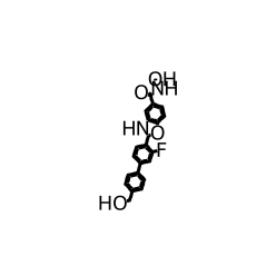 O=C(NO)c1ccc2c(c1)NC(c1ccc(-c3ccc(CO)cc3)cc1F)O2